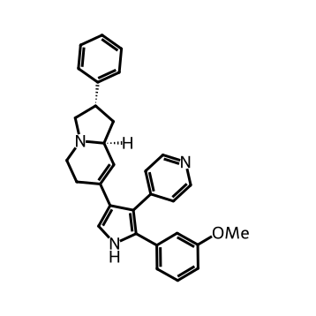 COc1cccc(-c2[nH]cc(C3=C[C@@H]4C[C@@H](c5ccccc5)CN4CC3)c2-c2ccncc2)c1